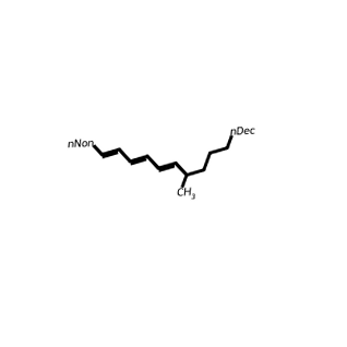 CCCCCC[CH]CCCCCCC(C)C=CC=CC=CCCCCCCCCC